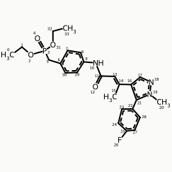 CCOP(=O)(Cc1ccc(NC(=O)/C=C(\C)c2cnn(C)c2-c2ccc(F)cc2)cc1)OCC